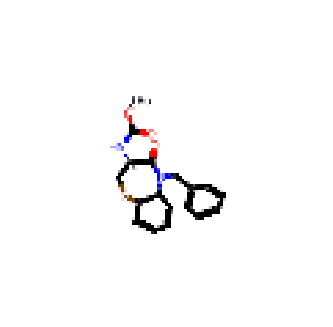 CC(C)(C)OC(=O)N[C@H]1CSC2C=CC=CC2N(Cc2ccccc2)C1=O